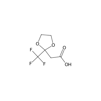 O=C(O)CC1(C(F)(F)F)OCCO1